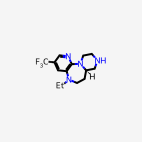 CCN1CC[C@@H]2CNCCN2c2ncc(C(F)(F)F)cc21